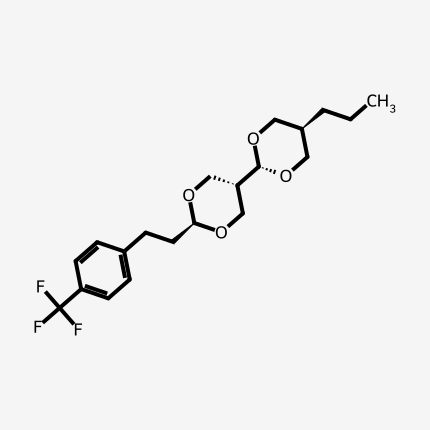 CCC[C@H]1CO[C@H]([C@H]2CO[C@H](CCc3ccc(C(F)(F)F)cc3)OC2)OC1